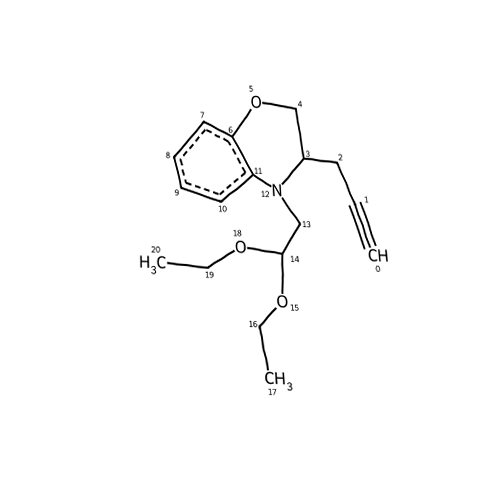 C#CCC1COc2ccccc2N1CC(OCC)OCC